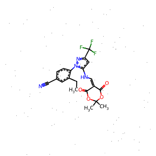 CCc1cc(C#N)ccc1-n1nc(C(F)(F)F)cc1NC=C1C(=O)OC(C)(C)OC1=O